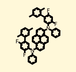 Cc1ccc(C)c(-c2cc(N(c3ccccc3)c3ccc4ccc5c(N(c6ccccc6)c6cc(-c7cc(C)ccc7C)c(F)cc6F)ccc6ccc3c4c65)c(F)cc2F)c1